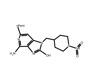 CCCCCc1cc2c(nc(O)n2CC2CCN([SH](=O)=O)CC2)c(N)n1